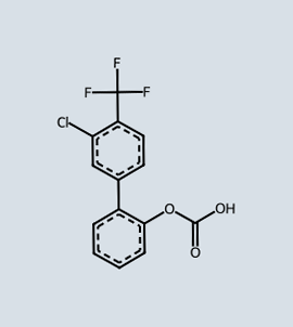 O=C(O)Oc1ccccc1-c1ccc(C(F)(F)F)c(Cl)c1